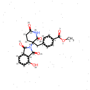 COC(=O)c1ccc(CC2(N3C(=O)c4cccc(O)c4C3=O)CCC(=O)NC2=O)cc1